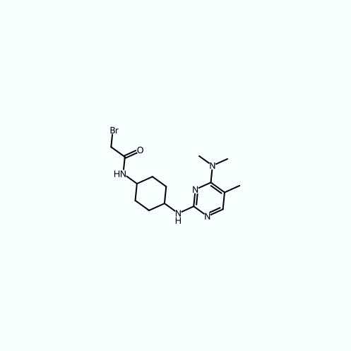 Cc1cnc(NC2CCC(NC(=O)CBr)CC2)nc1N(C)C